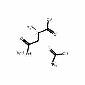 NC(=O)O.N[C@@H](CC(=O)O)C(=O)O.[NaH]